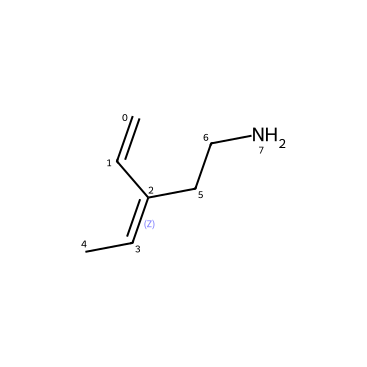 C=C/C(=C\C)CCN